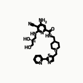 N#Cc1c(N)cc(C(=O)NCC2CCN(Cc3cnc(-c4ccccn4)s3)CC2)nc1NC[C@@H](O)CO